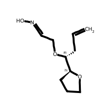 C=CC[C@@H](OCC=NO)[C@@H]1CCCO1